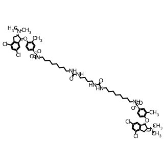 Cc1cc(S(=O)(=O)NCCCCCCCCNC(=O)NCCCCNC(=O)NCCCCCCCCNS(=O)(=O)c2ccc(O[C@H]3c4cc(Cl)cc(Cl)c4C[C@@H]3N(C)C)c(C)c2)ccc1O[C@H]1c2cc(Cl)cc(Cl)c2C[C@@H]1N(C)C